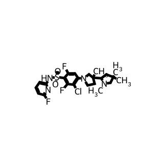 CN1CC(C)(C)CC1C1(C)CCN(c2cc(F)c(S(=O)(=O)Nc3cccc(F)n3)c(F)c2Cl)C1